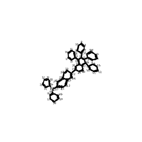 c1ccc(-c2c(-c3ccccc3)c(-c3ccccc3)c3cc(-c4ccc5cc(N(c6ccccc6)c6ccccc6)ccc5c4)ccc3c2-c2ccccc2)cc1